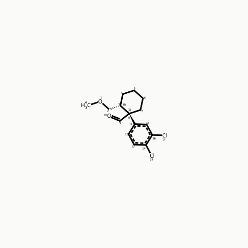 COC[C@@H]1CCCC[C@@]1(C=O)c1ccc(Cl)c(Cl)c1